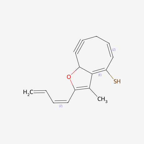 C=C/C=C\C1=C(C)C2=C(S)/C=C\CC#CC\2O1